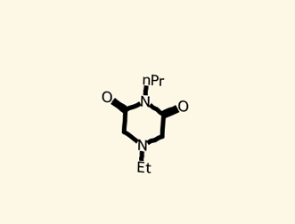 [CH2]CCN1C(=O)CN(CC)CC1=O